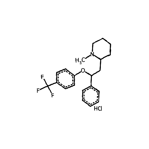 CN1CCCCC1CC(Oc1ccc(C(F)(F)F)cc1)c1ccccc1.Cl